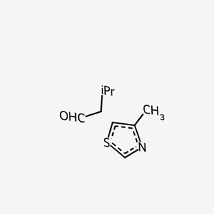 CC(C)CC=O.Cc1cscn1